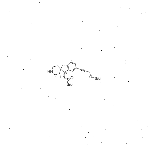 CC(C)(C)OCC#Cc1ccc2c(c1)[C@@H](N[S+]([O-])C(C)(C)C)C1(CCNCC1)C2